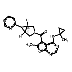 Cc1oc2ncnc(NC3(C)CC3)c2c1C(=O)N1C[C@@H]2C(c3ccccn3)[C@@H]2C1